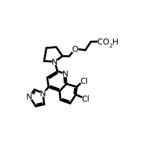 O=C(O)CCOCC1CCCN1c1cc(-n2ccnc2)c2ccc(Cl)c(Cl)c2n1